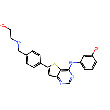 OCCNCc1ccc(-c2cc3ncnc(Nc4cccc(O)c4)c3s2)cc1